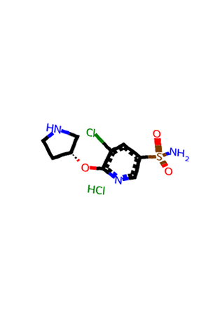 Cl.NS(=O)(=O)c1cnc(O[C@@H]2CCNC2)c(Cl)c1